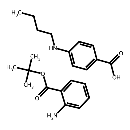 CC(C)(C)OC(=O)c1ccccc1N.CCCCNc1ccc(C(=O)O)cc1